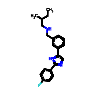 CCC(C)CNCc1cccc(-c2cnc(-c3ccc(F)cc3)[nH]2)c1